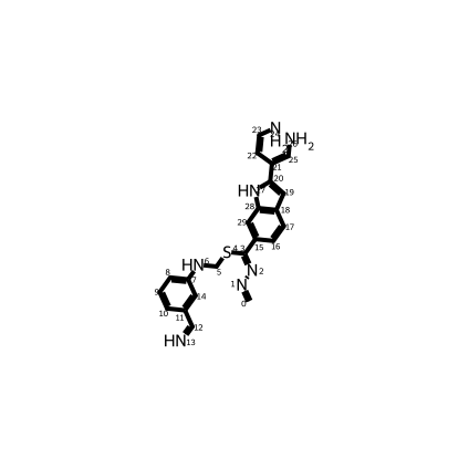 C=N/N=C(\SCNc1cccc(C=N)c1)c1ccc2cc(C(/C=C\N)=C/N)[nH]c2c1